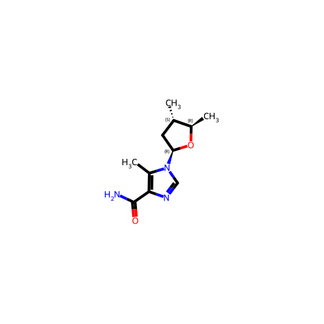 Cc1c(C(N)=O)ncn1[C@H]1C[C@H](C)[C@@H](C)O1